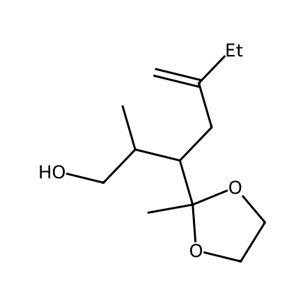 C=C(CC)CC(C(C)CO)C1(C)OCCO1